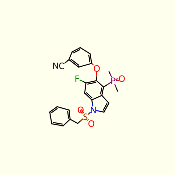 CP(C)(=O)c1c(Oc2cccc(C#N)c2)c(F)cc2c1ccn2S(=O)(=O)Cc1ccccc1